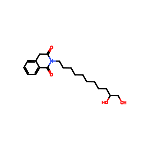 O=C1Cc2ccccc2C(=O)N1CCCCCCCCCC(O)CO